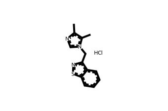 Cc1ncn(Cc2nsc3ccccc23)c1C.Cl